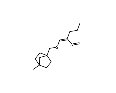 C=N/C(=C\SCC12CCC(C)(CC1)C2)CCC